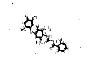 Cc1cc(Oc2cc(Cl)c(Cl)cc2Br)c(Cl)c(C)c1NC(=O)NC(=O)c1c(F)cccc1Cl